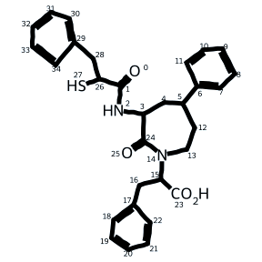 O=C(NC1CC(c2ccccc2)CCN(C(Cc2ccccc2)C(=O)O)C1=O)C(S)Cc1ccccc1